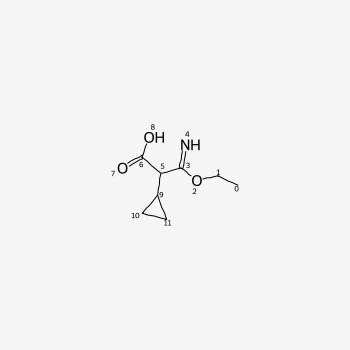 CCOC(=N)C(C(=O)O)C1CC1